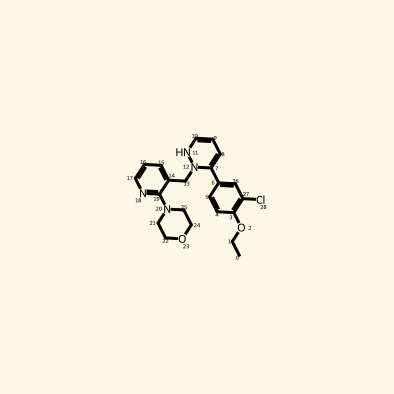 CCOc1ccc(C2=CC=CNN2Cc2cccnc2N2CCOCC2)cc1Cl